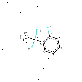 Fc1[c]cccc1C(F)(F)C(F)(F)F